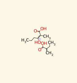 C=C(CC)C(=O)O.CCC/C(O)=C(/C)C(=O)O